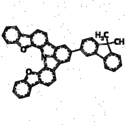 CC1(C)c2ccccc2-c2cc(-c3cc4c5ccc6c7ccccc7oc6c5n5c4c(c3)c3ccc4c6ccccc6oc4c35)ccc21